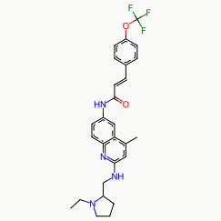 CCN1CCCC1CNc1cc(C)c2cc(NC(=O)C=Cc3ccc(OC(F)(F)F)cc3)ccc2n1